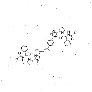 C=C/C(=C\C=C(/C)c1ccc(-c2noc([C@@H]3CCCN3C(=O)[C@H](NC(=O)C3CC3)c3ccccc3)n2)cc1)c1c[nH]c([C@@H]2CCCN2C(=O)[C@H](NC(=O)C2CC2)c2ccccc2)n1